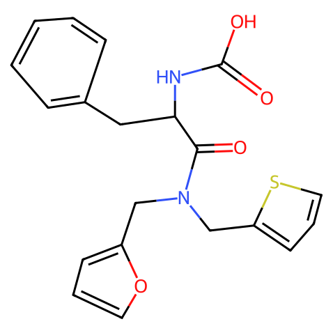 O=C(O)NC(Cc1ccccc1)C(=O)N(Cc1ccco1)Cc1cccs1